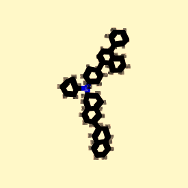 c1ccc(-c2ccc(-c3ccc(N(c4ccccc4)c4ccc5cc(-c6ccc7ccccc7c6)ccc5c4)cc3)c3ccccc23)cc1